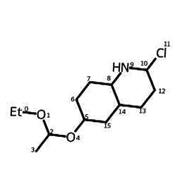 CCOC(C)OC1CCC2NC(Cl)CCC2C1